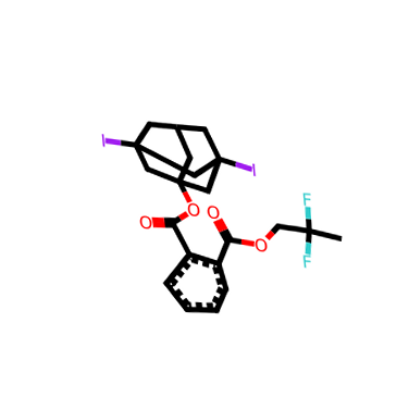 CC(F)(F)COC(=O)c1ccccc1C(=O)OC12CC3CC(I)(CC(I)(C3)C1)C2